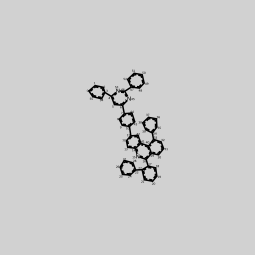 c1ccc(-c2cc(-c3ccc(-c4ccc5nc(-c6ccccc6-c6ccccc6)c6cccc(-c7ccccc7)c6c5c4)cc3)nc(-c3ccccc3)n2)cc1